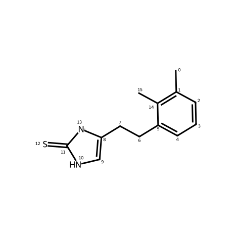 Cc1cccc(CCC2=CNC(=S)[N]2)c1C